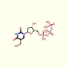 O=c1[nH]c(=O)n([C@H]2C[C@H](O)[C@@H](COP(=O)(O)OP(=O)(O)OP(=O)(O)O)O2)cc1CO